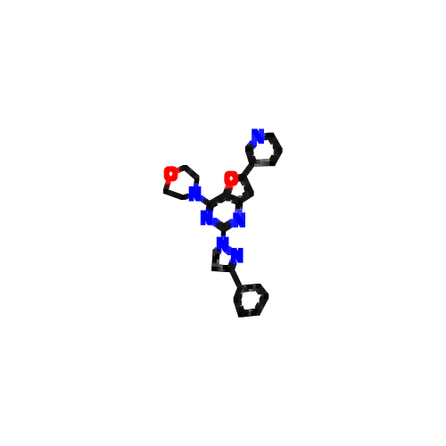 c1ccc(-c2ccn(-c3nc(N4CCOCC4)c4oc(-c5cccnc5)cc4n3)n2)cc1